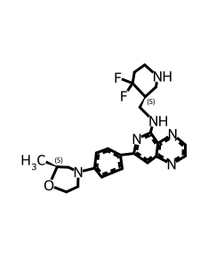 C[C@H]1CN(c2ccc(-c3cc4nccnc4c(NC[C@@H]4CNCCC4(F)F)n3)cc2)CCO1